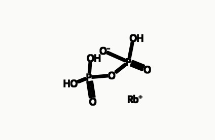 O=P([O-])(O)OP(=O)(O)O.[Rb+]